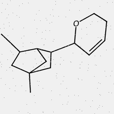 CC1CC2(C)CC1C(C1C=CCCO1)C2